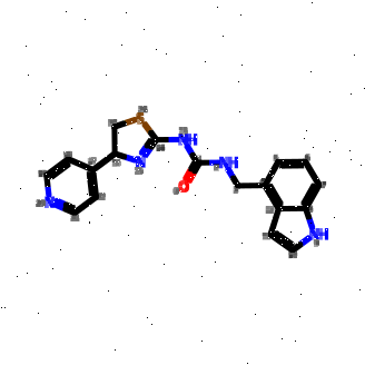 O=C(NCc1cccc2[nH]ccc12)NC1=NC(c2ccncc2)CS1